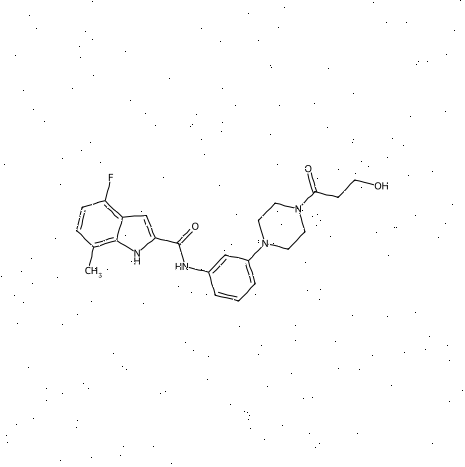 Cc1ccc(F)c2cc(C(=O)Nc3cccc(N4CCN(C(=O)CCO)CC4)c3)[nH]c12